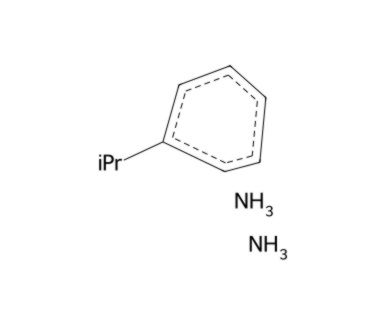 CC(C)c1ccccc1.N.N